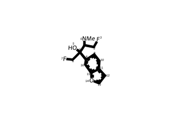 CNC(CF)C(O)(CF)c1ccc2ccoc2c1